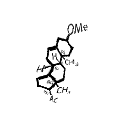 COC1CC[C@@]2(C)C(=CC[C@H]3C4=CC[C@H](C(C)=O)[C@@]4(C)CC[C@@H]32)C1